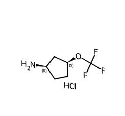 Cl.N[C@@H]1CC[C@H](OC(F)(F)F)C1